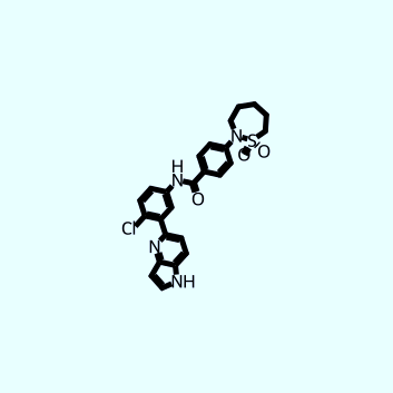 O=C(Nc1ccc(Cl)c(-c2ccc3[nH]ccc3n2)c1)c1ccc(N2CCCCCS2(=O)=O)cc1